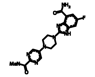 CNC(=O)c1ncc(N2CCN(c3nc4c(C(N)=O)cc(F)cc4[nH]3)CC2)cn1